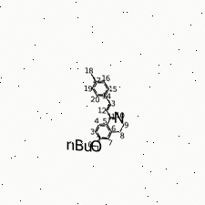 CCCCOc1ccc2c(c1)CCN=C2C=Cc1ccc(C)cc1